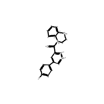 O=C(c1cc(-c2ccc(F)cc2)cnn1)N1CCOc2ccccc21